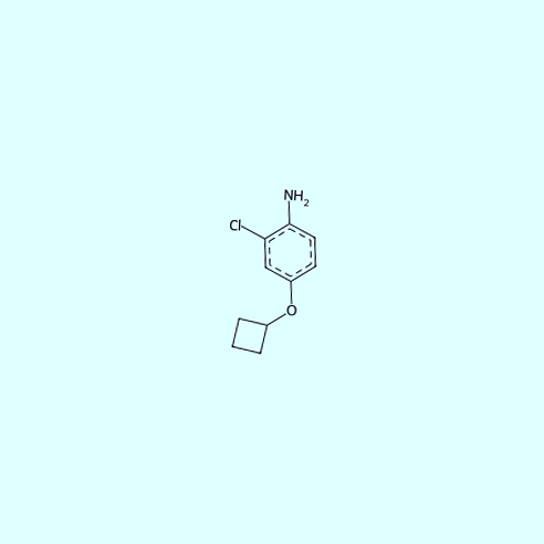 Nc1ccc(OC2CCC2)cc1Cl